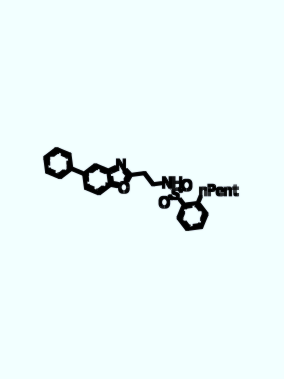 CCCCCc1ccccc1S(=O)(=O)NCCc1nc2cc(-c3ccccc3)ccc2o1